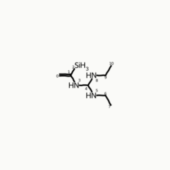 C=C([SiH3])NC(NCC)NCC